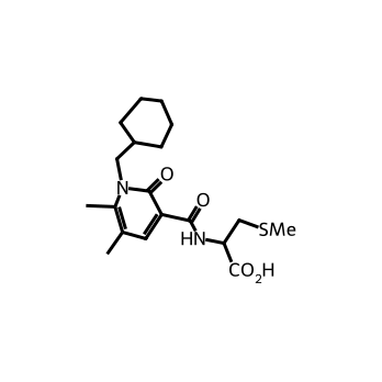 CSCC(NC(=O)c1cc(C)c(C)n(CC2CCCCC2)c1=O)C(=O)O